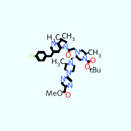 COC(=O)c1cnc(N2CCN(C[C@H]3CN(C(=O)OC(C)(C)C)[C@H](C)CN3CC(=O)N3CC(C)(C)c4ncc(Cc5ccc(F)cc5)cc43)[C@H](C)C2)cn1